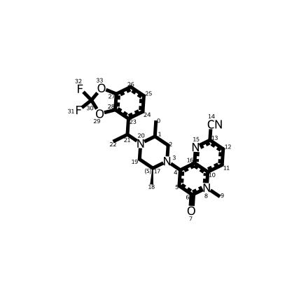 CC1CN(c2cc(=O)n(C)c3ccc(C#N)nc23)[C@@H](C)CN1C(C)c1cccc2c1OC(F)(F)O2